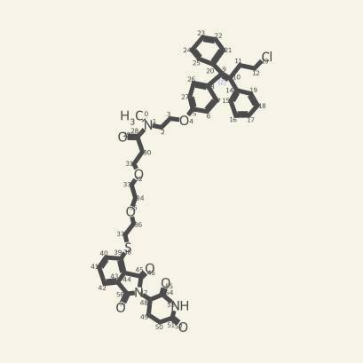 CN(CCOc1ccc(/C(=C(/CCCl)c2ccccc2)c2ccccc2)cc1)C(=O)CCOCCOCCSc1cccc2c1C(=O)N(C1CCC(=O)NC1=O)C2=O